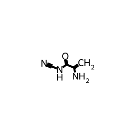 C=C(N)C(=O)NC#N